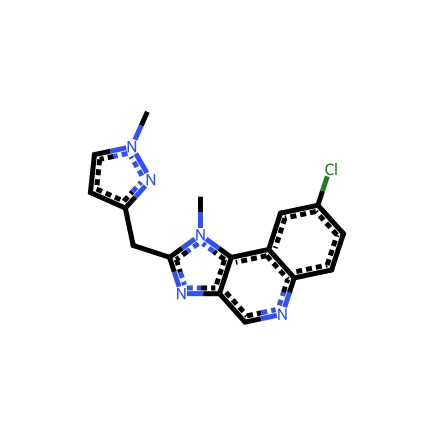 Cn1ccc(Cc2nc3cnc4ccc(Cl)cc4c3n2C)n1